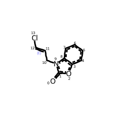 O=c1oc2ccccc2n1C/C=C/Cl